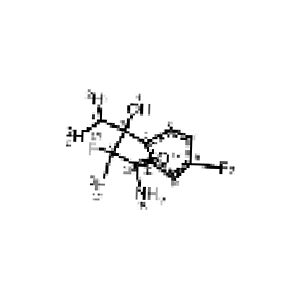 [2H]C([2H])C(O)(c1ccc(F)cc1)C([2H])(F)C(N)=O